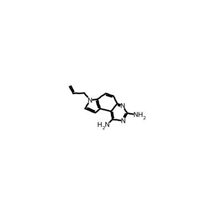 C=CCn1ccc2c3c(N)nc(N)nc3ccc21